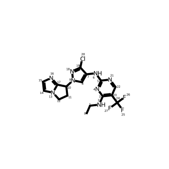 CCNc1nc(Nc2cn(C3CCn4ccnc43)nc2Cl)ncc1C(F)(F)F